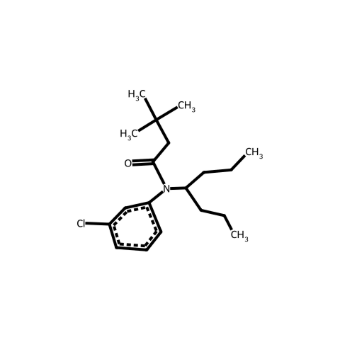 CCCC(CCC)N(C(=O)CC(C)(C)C)c1cccc(Cl)c1